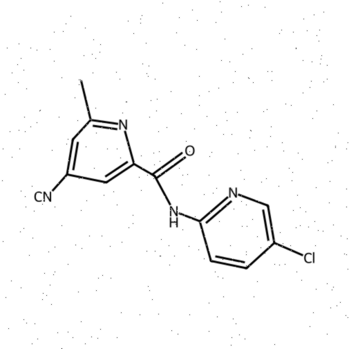 [C-]#[N+]c1cc(C)nc(C(=O)Nc2ccc(Cl)cn2)c1